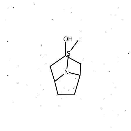 CSN1C2CCC1CC(O)C2